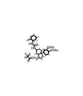 COc1ccc(C23CCC(NC(=O)Nc4ccccc4I)CC2N(C)CC3)cc1OC.O=C(O)C(F)(F)F